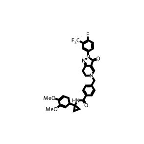 COC1=CCC(C2(NC(=O)c3ccc(CN4C=C5C(=O)N(c6ccc(F)c(C(F)(F)F)c6)N=C5CC4)cc3)CC2)C=C1OC